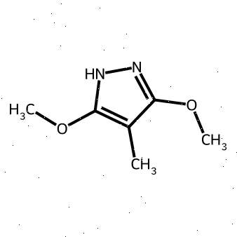 COc1n[nH]c(OC)c1C